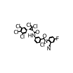 CN(C(=O)c1cc(NC(=O)[C@H]2[C@H](c3cc(Cl)c(Cl)c(Cl)c3)C2(Cl)Cl)ccc1Cl)c1ccc(F)cc1C#N